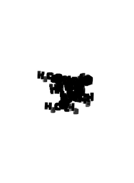 CCOP(=O)(CCNCCOC12CC3(C)CC(C)(CC(Cn4nc(N5CCc6cccc(C(=O)Nc7nc8ccccc8s7)c6C5)c(-c5cccnc5C(=O)O)c4C)(C3)C1)C2)OCC